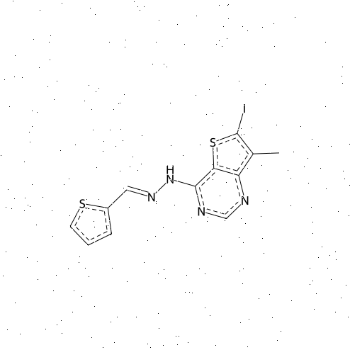 Cc1c(I)sc2c(NN=Cc3cccs3)ncnc12